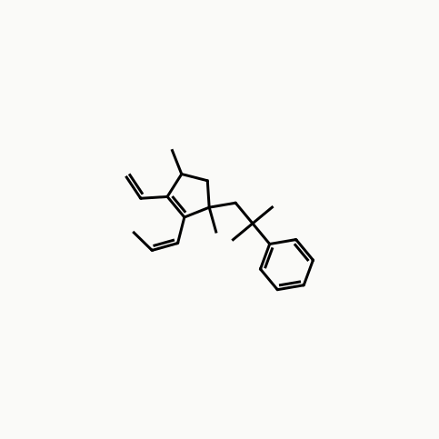 C=CC1=C(/C=C\C)C(C)(CC(C)(C)c2ccccc2)CC1C